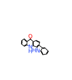 O=c1c2ccccc2[nH]c2c1ccc1c3ccccc3[nH]c12